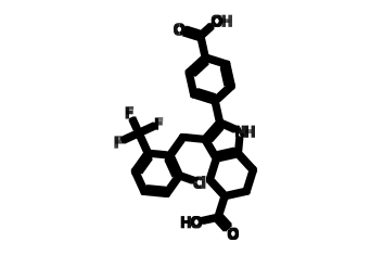 O=C(O)c1ccc(-c2[nH]c3c(c2Cc2c(Cl)cccc2C(F)(F)F)CC(C(=O)O)CC3)cc1